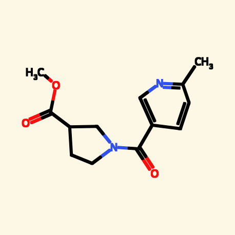 COC(=O)C1CCN(C(=O)c2ccc(C)nc2)C1